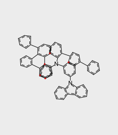 c1ccc(-c2ccc(-c3ccccc3N(c3cccc(-n4c5ccccc5c5ccccc54)c3)c3ccccc3-c3cccc(-c4ccccc4)c3-c3ccccc3-c3ccccc3)cc2)cc1